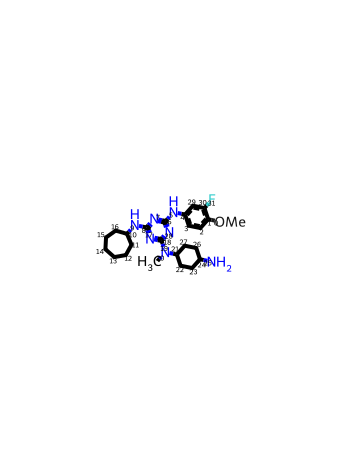 COc1ccc(Nc2nc(NC3CCCCCC3)nc(N(C)C3CCC(N)CC3)n2)cc1F